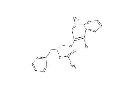 Cc1cc(OC[C@@H](Cc2ccccc2)OC(N)=O)c(Br)c2cccnc12